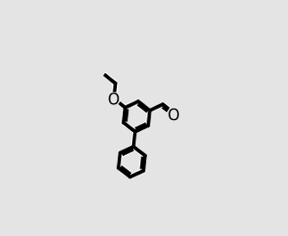 CCOc1cc(C=O)cc(-c2ccccc2)c1